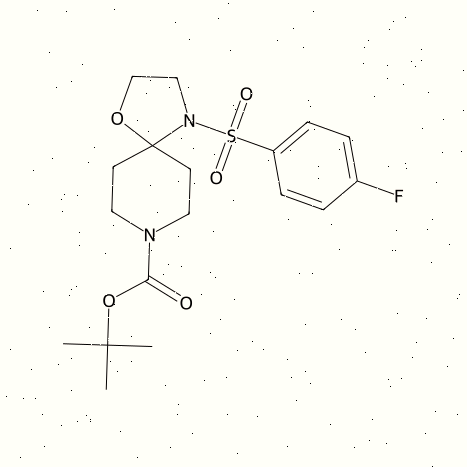 CC(C)(C)OC(=O)N1CCC2(CC1)OCCN2S(=O)(=O)c1ccc(F)cc1